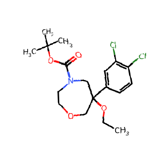 CCOC1(c2ccc(Cl)c(Cl)c2)COCCN(C(=O)OC(C)(C)C)C1